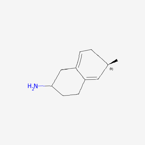 C[C@H]1C=C2CCC(N)CC2=CC1